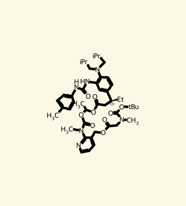 CC[C@@H](CC(=O)OC(C)OC(=O)N(C)c1ncccc1COC(=O)CN(C)C(=O)OC(C)(C)C)c1ccc(N(CC(C)C)CC(C)C)c(NC(=O)Nc2ccc(C)cc2)c1